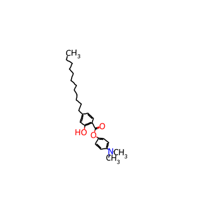 CCCCCCCCCCCCc1ccc(C(=O)Oc2ccc(N(C)C)cc2)c(O)c1